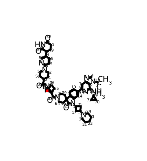 CC(C)n1cnc2cc(-c3ccc4c(c3)N([C@H]3C[C@@H](N5CCCCC5)C3)C(=O)C43CCN(C(=O)C45CC(N(C(=O)C6CCN(c7ccc(C8CCC(=O)NC8=O)cn7)CC6)C4)C5(F)F)CC3)nc(NC3CC3)c21